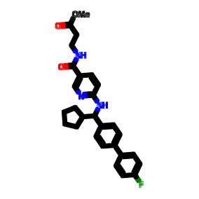 COC(=O)CCNC(=O)c1ccc(NC(c2ccc(-c3ccc(F)cc3)cc2)C2CCCC2)nc1